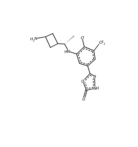 C[C@H](Nc1cc(-c2n[nH]c(=O)o2)cc(C(F)(F)F)c1Cl)C1CC(N)C1